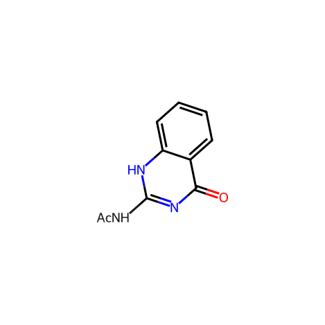 CC(=O)Nc1nc(=O)c2ccccc2[nH]1